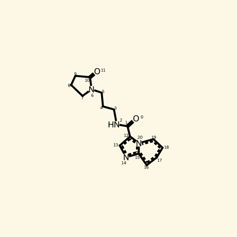 O=C(NCCCN1CCCC1=O)c1cnc2ccccn12